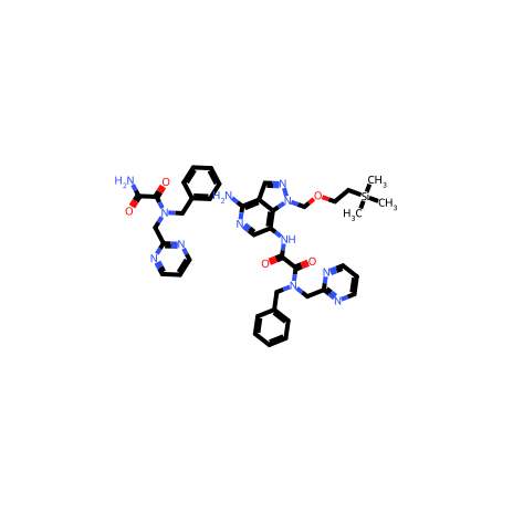 C[Si](C)(C)CCOCn1ncc2c(N)ncc(NC(=O)C(=O)N(Cc3ccccc3)Cc3ncccn3)c21.NC(=O)C(=O)N(Cc1ccccc1)Cc1ncccn1